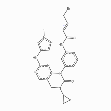 Cn1cc(Nc2ncc3c(n2)N(c2cccc(NC(=O)/C=C/CBr)c2)C(=O)N(C2CC2)C3)cn1